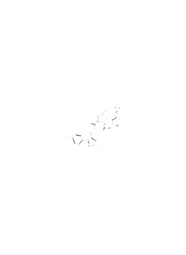 Cn1cc(CNC(=O)C2CC(O)CN2C(=O)[C@@H](n2cc(C3CC3)nn2)C(C)(C)C)c(-c2ccc(C#N)cc2)n1